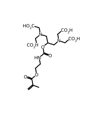 C=C(C)C(=O)OCCNC(=O)OC(CN(CC(=O)O)CC(=O)O)CN(CC(=O)O)CC(=O)O